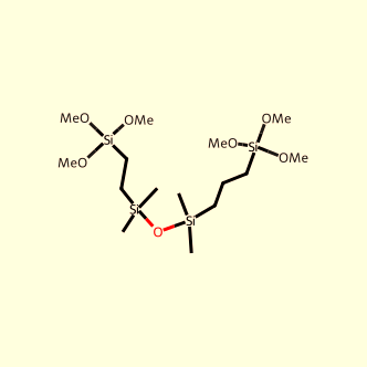 CO[Si](CCC[Si](C)(C)O[Si](C)(C)CC[Si](OC)(OC)OC)(OC)OC